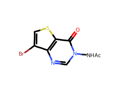 CC(=O)Nn1cnc2c(Br)csc2c1=O